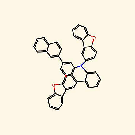 c1cc(-c2ccc3ccccc3c2)cc(N(c2ccc3oc4ccccc4c3c2)c2ccccc2-c2ccc3oc4ccccc4c3c2)c1